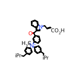 CC(C)Cc1ccc([N+](C)(c2ccc(CC(C)C)cc2)c2cccc(C(=O)c3cn(C/C=C/C(=O)O)c4ccccc34)c2)cc1